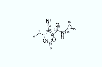 CCC[C@H](C#N)C(OC(C)=O)C(=O)NC1CC1